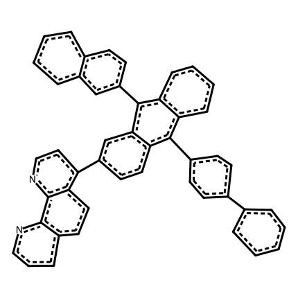 c1ccc(-c2ccc(-c3c4ccccc4c(-c4ccc5ccccc5c4)c4cc(-c5ccnc6c5ccc5cccnc56)ccc34)cc2)cc1